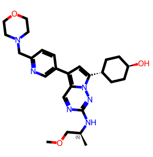 COC[C@H](C)Nc1ncc2c(-c3ccc(CN4CCOCC4)nc3)cc([C@H]3CC[C@H](O)CC3)n2n1